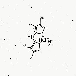 CC1=CC[C]([Hf][C]2=C(C)C(C)=CC2)=C1C.Cl.[H-]